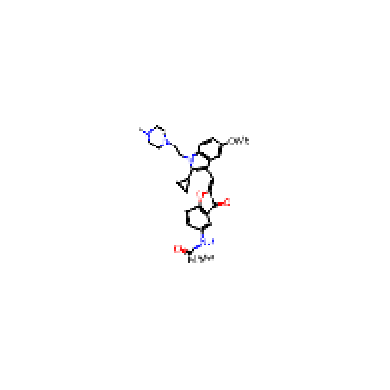 CNC(=O)Nc1ccc2c(c1)C(=O)C(=Cc1c(C3CC3)n(CCN3CCN(C)CC3)c3ccc(OC)cc13)O2